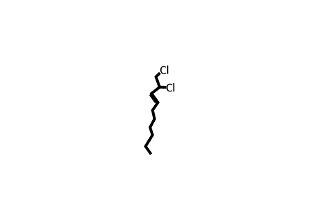 CCCCCCC=CC(Cl)CCl